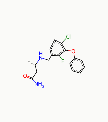 C[C@@H](CC(N)=O)NCc1ccc(Cl)c(Oc2ccccc2)c1F